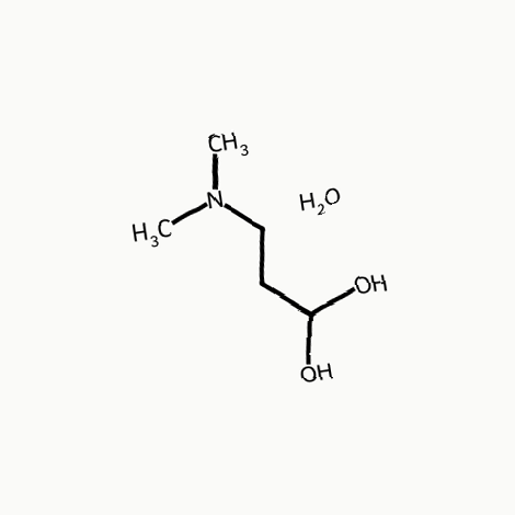 CN(C)CCC(O)O.O